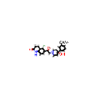 COc1cccc(C2(O)CCN(CC(=O)c3ccc4c(c3F)CCC(=O)N4)CC2)c1